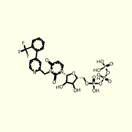 O=c1ccn([C@@H]2O[C@H](COP(=O)(O)OP(=O)(O)OP(=O)(O)O)C(O)C2O)c(=O)n1Cc1cc(-c2ccccc2C(F)(F)F)ccn1